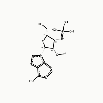 OC[C@H]1O[C@@H](n2cnc3c(O)ncnc32)[C@@H](OF)[C@H]1[SH]=P(O)(O)O